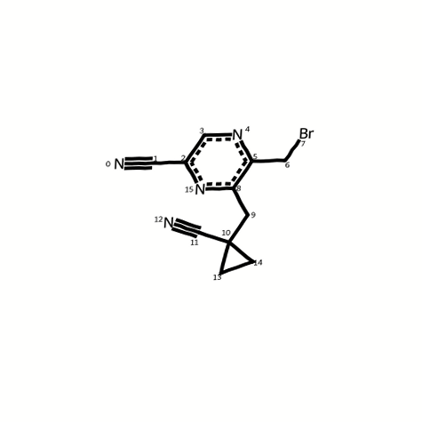 N#Cc1cnc(CBr)c(CC2(C#N)CC2)n1